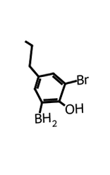 Bc1cc(CCC)cc(Br)c1O